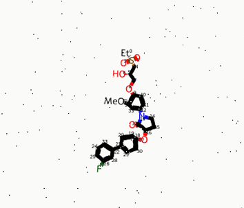 CCS(=O)(=O)C[C@@H](O)COc1ccc(N2CCC(Oc3ccc(-c4cccc(F)c4)cc3)C2=O)cc1OC